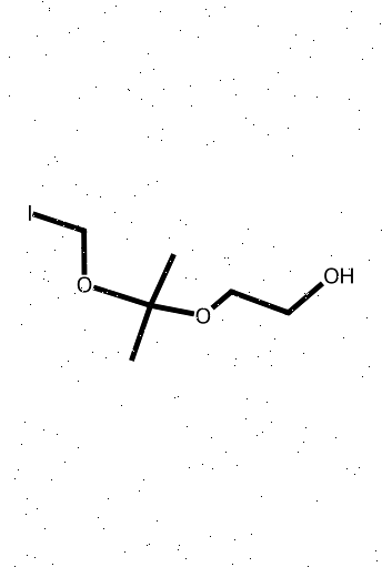 CC(C)(OCI)OCCO